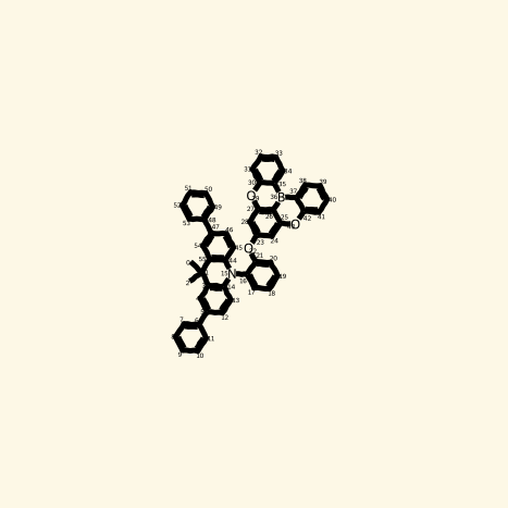 CC1(C)c2cc(-c3ccccc3)ccc2N(c2ccccc2Oc2cc3c4c(c2)Oc2ccccc2B4c2ccccc2O3)c2ccc(-c3ccccc3)cc21